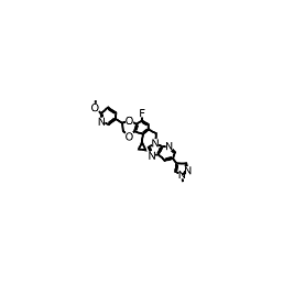 COc1ccc(C2COc3c(c(F)cc(Cn4cnc5cc(-c6cnn(C)c6)cnc54)c3C3CC3)O2)cn1